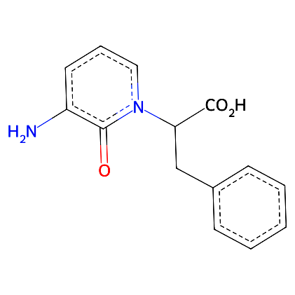 Nc1cccn(C(Cc2ccccc2)C(=O)O)c1=O